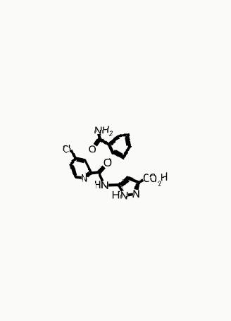 NC(=O)c1ccccc1.O=C(O)c1cc(NC(=O)c2cc(Cl)ccn2)[nH]n1